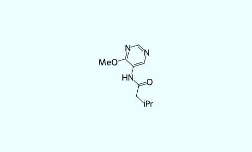 COc1ncncc1NC(=O)CC(C)C